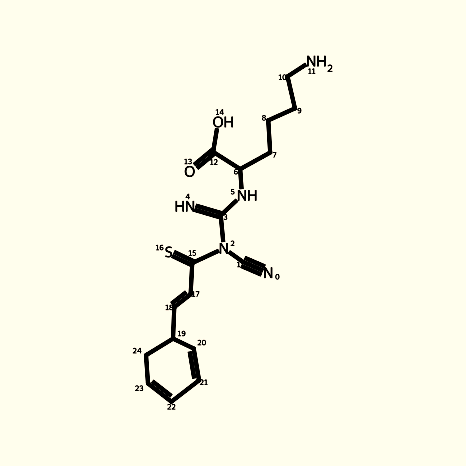 N#CN(C(=N)NC(CCCCN)C(=O)O)C(=S)C=CC1C=CC=CC1